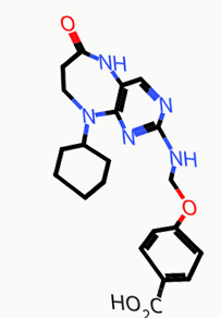 O=C1CCN(C2CCCCC2)c2nc(NCOc3ccc(C(=O)O)cc3)ncc2N1